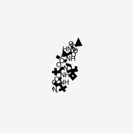 C=C[C@@H]1C[C@]1(NC(=O)[C@@H]1C[C@@]2(CN1C(=O)[C@@H](NC(=O)N[C@H](C(=O)N(C)C)C(C)(C)C)C(C)(C)C)C(C)(C)C21CCC1)C(=O)NS(=O)(=O)C1CC1